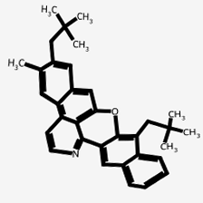 Cc1cc2c(cc1CC(C)(C)C)cc1c3c(nccc32)-c2cc3ccccc3c(CC(C)(C)C)c2O1